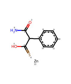 NC(=O)C(C(O)=S)c1ccccc1.[Zn]